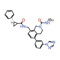 CC(C)(C)NC(=O)N1CCc2c(-c3cccc(-n4cncn4)c3)ccc(CNC(=O)C3C[C@@H]3c3ccccc3)c2C1